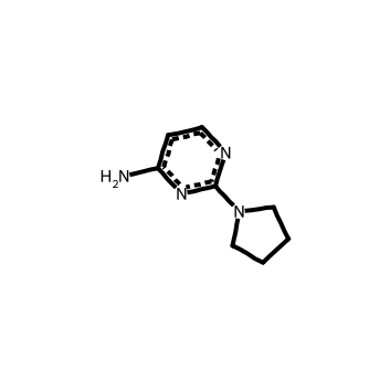 Nc1ccnc(N2CCCC2)n1